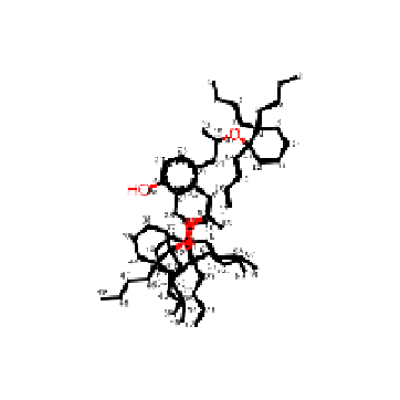 CCCCC1(CCCC)CCCCC1(CCCC)OC(C)Cc1ccc(O)c(CC(C)OC2(CCCC)CCCCC2(CCCC)CCCC)c1CC(C)OC1(CCCC)CCCCC1(CCCC)CCCC